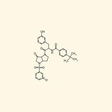 CC(C)(C)c1ccc(C(=O)NC(Cc2cccc(O)c2)C(=O)N2CCC3C2C(=O)CN3S(=O)(=O)c2ccc[n+]([O-])c2)cc1